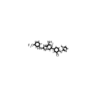 Cn1ccnc1Sc1ccc(-c2cn3nc(Nc4cccc(C(F)(F)F)c4)nc3c(N)n2)cc1Cl